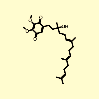 COC1=C(OC)C(=O)C(CCC(C)(O)CC/C=C(\C)CC/C=C(\C)CCC=C(C)C)=CC1=O